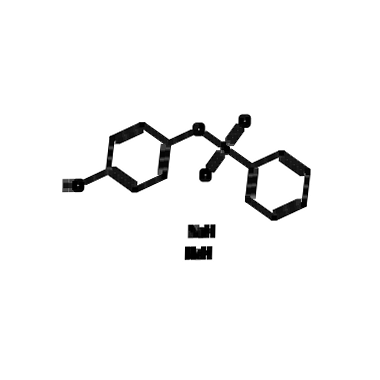 O=S(=O)(Oc1ccc(O)cc1)c1ccccc1.[NaH].[NaH]